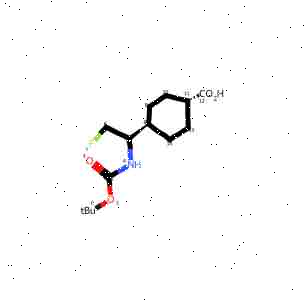 CC(C)(C)OC(=O)NC(CF)[C@H]1CC[C@H](C(=O)O)CC1